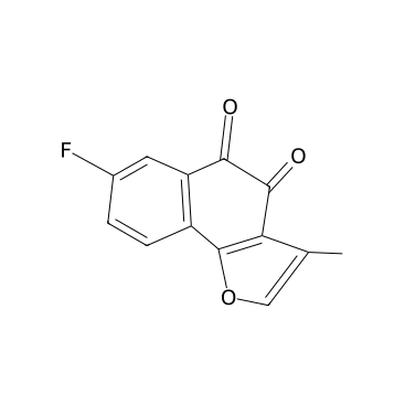 Cc1coc2c1C(=O)C(=O)c1cc(F)ccc1-2